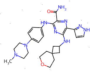 CN1CCN(c2ccc(Nc3nc(NC4CC5(CCOCC5)C4)c(-c4cc[nH]n4)nc3C(N)=O)cc2)CC1